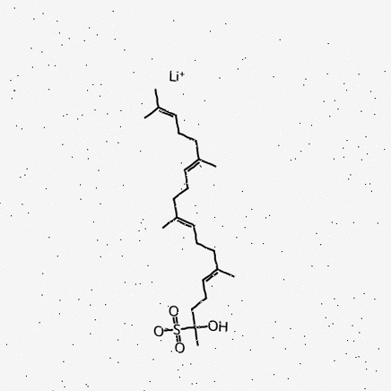 CC(C)=CCCC(C)=CCCC(C)=CCCC(C)=CCCC(C)(O)S(=O)(=O)[O-].[Li+]